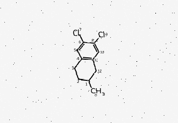 CC1CCc2cc(Cl)c(Cl)cc2C1